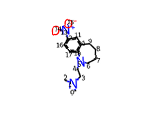 CN(C)CCN1CCCCc2cc([N+](=O)[O-])ccc21